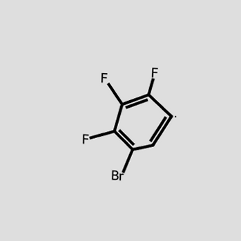 Fc1[c]cc(Br)c(F)c1F